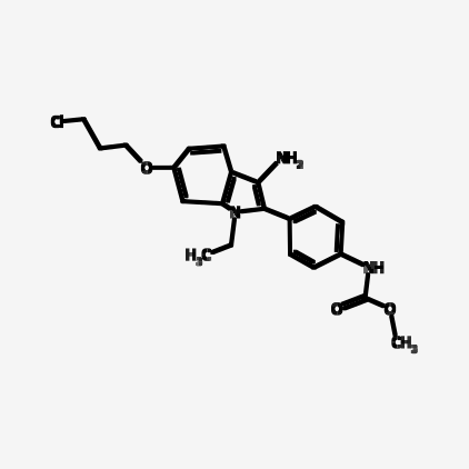 CCn1c(-c2ccc(NC(=O)OC)cc2)c(N)c2ccc(OCCCCl)cc21